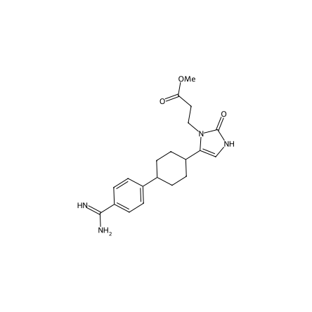 COC(=O)CCn1c(C2CCC(c3ccc(C(=N)N)cc3)CC2)c[nH]c1=O